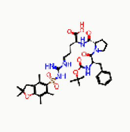 Cc1c(C)c(S(=O)(=O)NC(=N)NCCC[C@H](NC(=O)[C@@H]2CCCN2C(=O)[C@@H](Cc2ccccc2)NC(=O)OC(C)(C)C)C(=O)O)c(C)c2c1OC(C)(C)C2